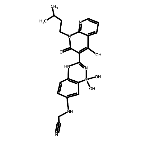 CC(C)CCn1c(=O)c(C2=NS(O)(O)c3cc(NCC#N)ccc3N2)c(O)c2cccnc21